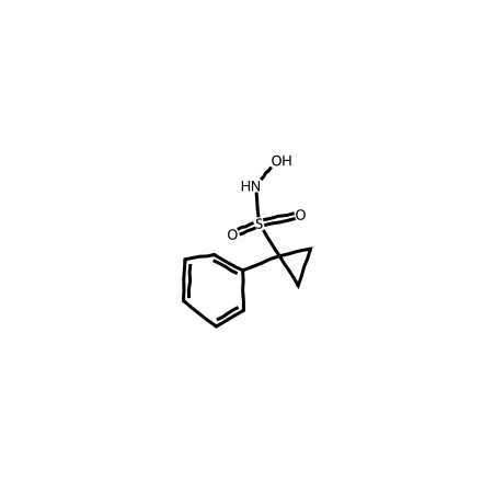 O=S(=O)(NO)C1(c2ccccc2)CC1